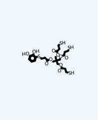 O=C(CCS)OCC(COC(=O)CCS)(COC(=O)CCS)COC(=O)CCSc1cccc(O)c1O